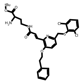 CC(C)(C)OC(=O)C(N)CCNC(=O)/C=C/c1nc(CSc2c(Cl)cccc2Cl)ccc1OCCc1ccccc1